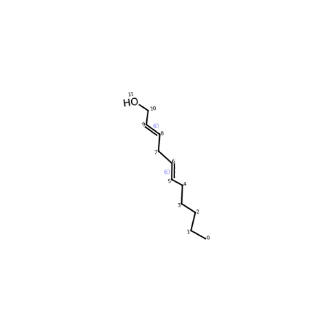 CCCCC/C=C/C/C=C/CO